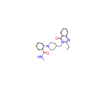 CCc1nc2ccccc2c(=O)n1CC1CCN(c2ccccc2C(=O)NC)CC1